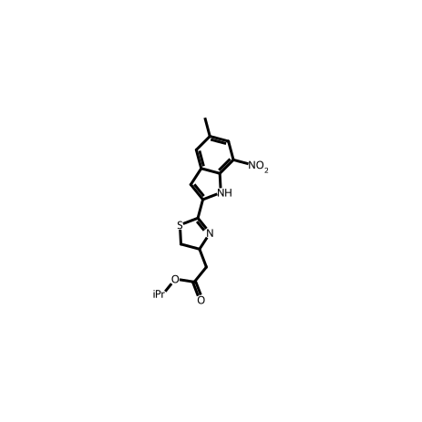 Cc1cc([N+](=O)[O-])c2[nH]c(C3=NC(CC(=O)OC(C)C)CS3)cc2c1